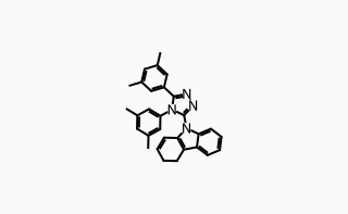 Cc1cc(C)cc(-c2nnc(-n3c4c(c5ccccc53)CCC=C4)n2-c2cc(C)cc(C)c2)c1